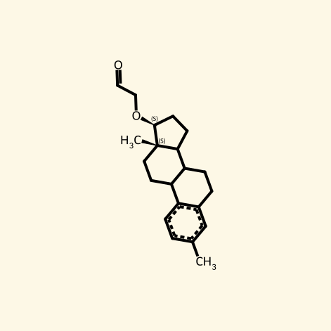 Cc1ccc2c(c1)CCC1C2CC[C@@]2(C)C1CC[C@@H]2OCC=O